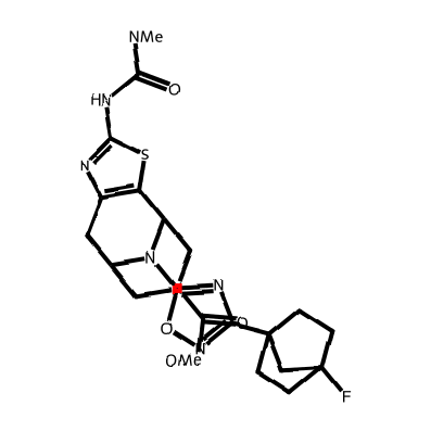 CNC(=O)Nc1nc2c(s1)C1CN(C(=O)OC)CC(C2)N1c1nc(C23CCC(F)(CC2)C3)no1